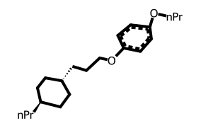 CCCOc1ccc(OCCC[C@H]2CC[C@H](CCC)CC2)cc1